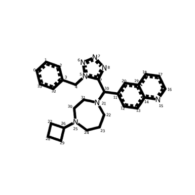 c1ccc(Cn2nnnc2C(c2ccc3ncccc3c2)N2CCCN(C3CCC3)CC2)cc1